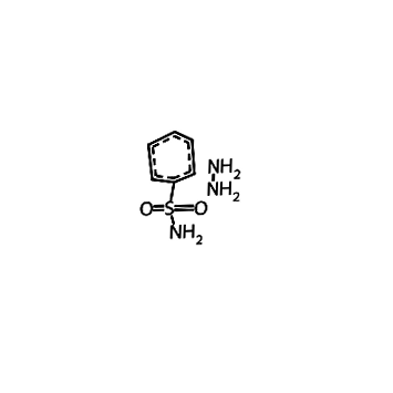 NN.NS(=O)(=O)c1ccccc1